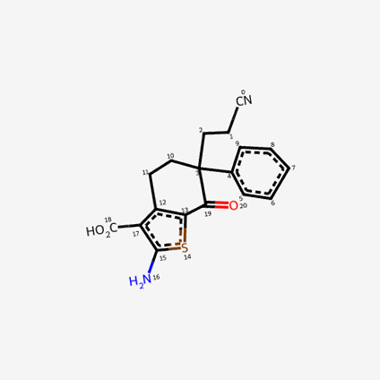 N#CCCC1(c2ccccc2)CCc2c(sc(N)c2C(=O)O)C1=O